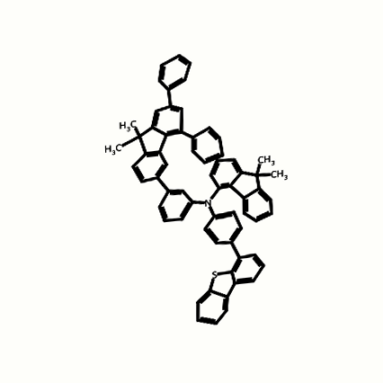 CC1(C)c2ccc(-c3cccc(N(c4ccc(-c5cccc6c5sc5ccccc56)cc4)c4cccc5c4-c4ccccc4C5(C)C)c3)cc2-c2c(-c3ccccc3)cc(-c3ccccc3)cc21